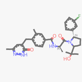 Cc1cc(Cc2ccc(C(=O)N[C@H](C)C(=O)N3C(C(C)(C)O)CC[C@H]3c3cccc(F)c3)cc2C)c(=O)[nH]n1